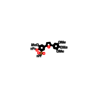 CCCOc1c(OC)cc(C2CCC(c3cc(OC)c(OC)c(OC)c3)O2)cc1S(=O)(=O)CCC